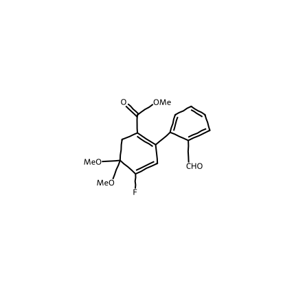 COC(=O)C1=C(c2ccccc2C=O)C=C(F)C(OC)(OC)C1